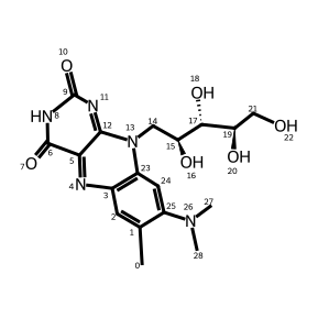 Cc1cc2nc3c(=O)[nH]c(=O)nc-3n(C[C@H](O)[C@H](O)[C@H](O)CO)c2cc1N(C)C